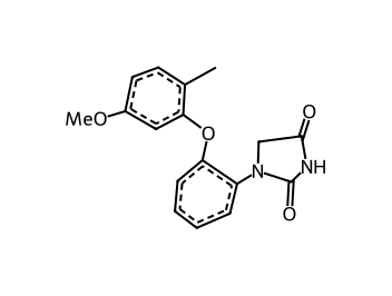 COc1ccc(C)c(Oc2ccccc2N2CC(=O)NC2=O)c1